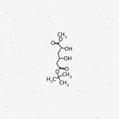 COC(=O)C(O)CC(O)CC(=O)OC(C)(C)C